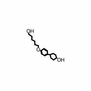 OCCCCCCOc1ccc(C2CCC(O)CC2)cc1